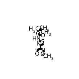 CON=C([C]=O)c1csc(NC(=O)OC(C)(C)C)n1